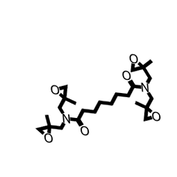 CC1(CN(CC2(C)CO2)C(=O)CCCCCCC(=O)N(CC2(C)CO2)CC2(C)CO2)CO1